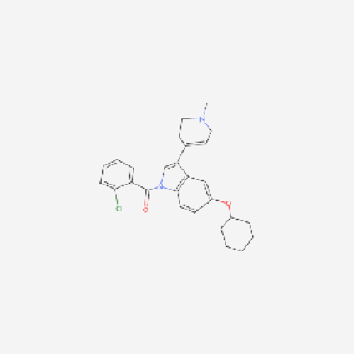 CN1CC=C(c2cn(C(=O)c3ccccc3Cl)c3ccc(OC4CCCCC4)cc23)CC1